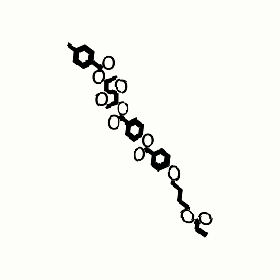 C=CC(=O)OCCCCOc1ccc(C(=O)Oc2ccc(C(=O)O[C@H]3COC4C3OC[C@@H]4OC(=O)c3ccc(C)cc3)cc2)cc1